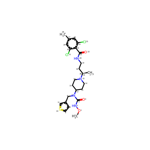 CONC(=O)N(Cc1ccsc1)C1CCN([C@H](C)CCNC(=O)c2c(Cl)cc(C)cc2Cl)CC1